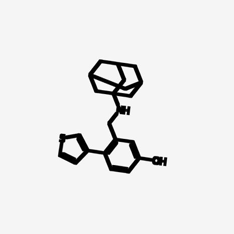 Oc1ccc(-c2ccsc2)c(CNC23CC4CC(CC(C4)C2)C3)c1